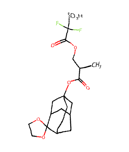 CC(COC(=O)C(F)(F)S(=O)(=O)O)C(=O)OC12CC3CC(C1)C1(OCCO1)C(C3)C2